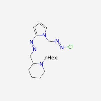 CCCCCCN1CCCCC1CN=Nc1cccn1CN=NCl